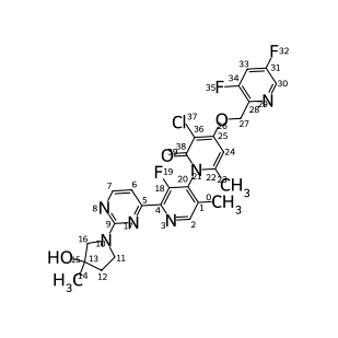 Cc1cnc(-c2ccnc(N3CCC(C)(O)C3)n2)c(F)c1-n1c(C)cc(OCc2ncc(F)cc2F)c(Cl)c1=O